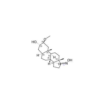 CO[C@H]1C[C@@]2(C)[C@@H](CC[C@@H]3[C@@H]2CC[C@]2(C)/C(=N\O)CC[C@@H]32)C[C@@H]1O